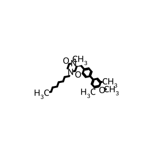 CCCCCCCCN1CC(=O)N(C)[C@@H](Cc2ccc(-c3cc(C)c(OC)c(C)c3)cc2)C1=O